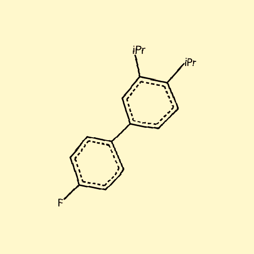 CC(C)c1ccc(-c2ccc(F)cc2)cc1C(C)C